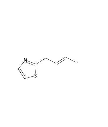 [CH2]C=CCc1nccs1